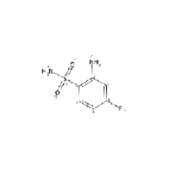 Nc1cc(F)ccc1S(N)(=O)=O